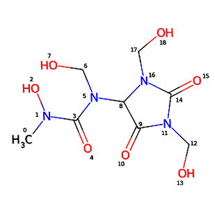 CN(O)C(=O)N(CO)C1C(=O)N(CO)C(=O)N1CO